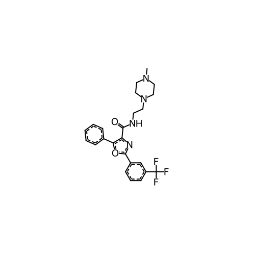 CN1CCN(CCNC(=O)c2nc(-c3cccc(C(F)(F)F)c3)oc2-c2ccccc2)CC1